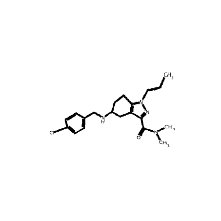 CCCn1nc(C(=O)N(C)C)c2c1CCC(NCc1ccc(Cl)cc1)C2